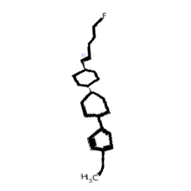 CCc1ccc(C2CCC([C@H]3CC[C@H](/C=C/CCCF)CC3)CC2)cc1